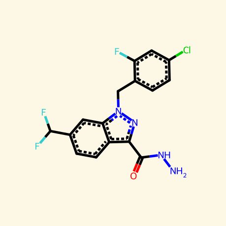 NNC(=O)c1nn(Cc2ccc(Cl)cc2F)c2cc(C(F)F)ccc12